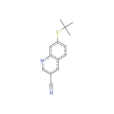 CC(C)(C)Sc1ccc2cc(C#N)cnc2c1